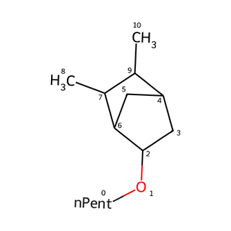 CCCCCOC1CC2CC1C(C)C2C